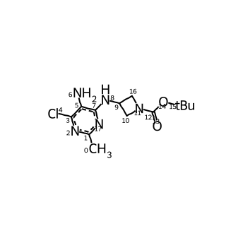 Cc1nc(Cl)c(N)c(NC2CN(C(=O)OC(C)(C)C)C2)n1